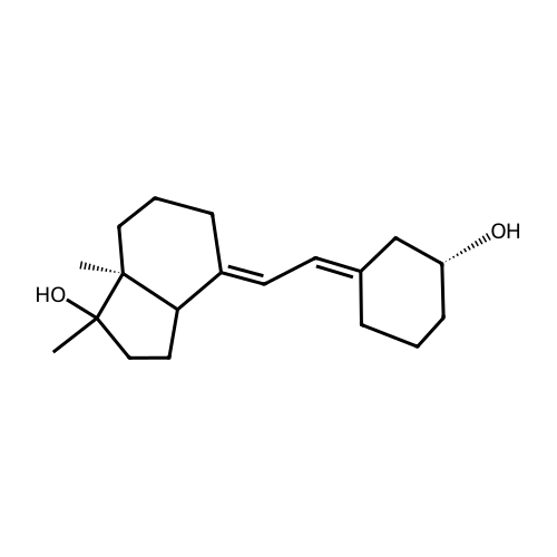 CC1(O)CCC2/C(=C/C=C3\CCC[C@@H](O)C3)CCC[C@@]21C